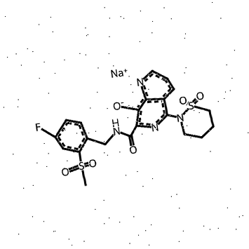 CS(=O)(=O)c1cc(F)ccc1CNC(=O)c1nc(N2CCCCS2(=O)=O)c2cccnc2c1[O-].[Na+]